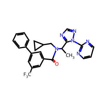 CC(c1ncnn1-c1ncccn1)N(CC1CC1)C(=O)c1cc(-c2ccccc2)cc(C(F)(F)F)c1